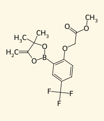 C=C1OB(c2cc(C(F)(F)F)ccc2OCC(=O)OC)OC1(C)C